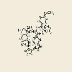 COc1ccc(N2CCN(c3nc(Nc4cc(C(C)(C)C)ccc4C)c4c(ncn4C4CCCC4)n3)CC2(C)C)cc1